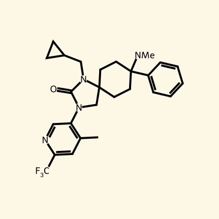 CNC1(c2ccccc2)CCC2(CC1)CN(c1cnc(C(F)(F)F)cc1C)C(=O)N2CC1CC1